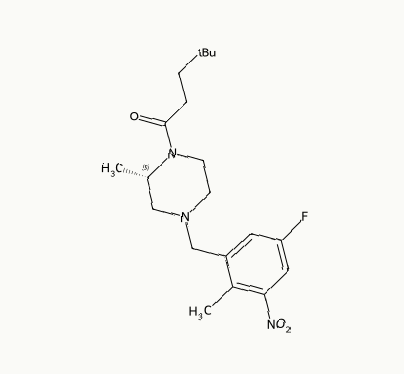 Cc1c(CN2CCN(C(=O)CCC(C)(C)C)[C@@H](C)C2)cc(F)cc1[N+](=O)[O-]